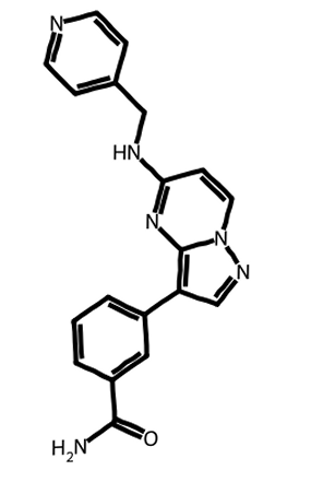 NC(=O)c1cccc(-c2cnn3ccc(NCc4ccncc4)nc23)c1